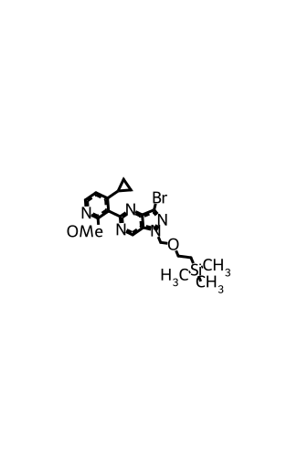 COc1nccc(C2CC2)c1-c1ncc2c(n1)c(Br)nn2COCC[Si](C)(C)C